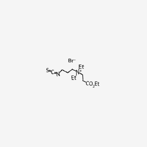 CCOC(=O)CC[N+](CC)(CC)CCCN=C=S.[Br-]